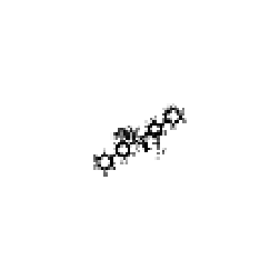 CCCCC(C)(c1ccc(C2CCCCC2)cc1)C(C)(CCCC)c1ccc(C2CCCCC2)cc1